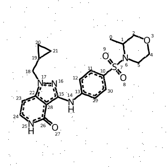 CC1COCCN1S(=O)(=O)c1ccc(Nc2nn(CC3CC3)c3cc[nH]c(=O)c23)cc1